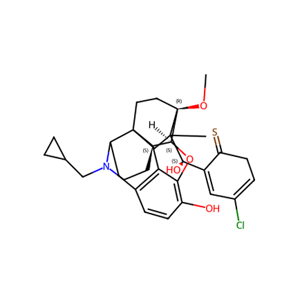 CO[C@]12CCC3(CC1(C)[C@H](O)C1=CC(Cl)=CCC1=S)C1Cc4ccc(O)c5c4[C@@]3(CCN1CC1CC1)[C@@H]2O5